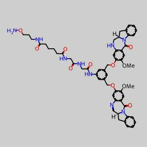 COc1cc2c(cc1OCc1cc(COc3cc4c(cc3OC)C(=O)N3c5ccccc5C[C@H]3CN4)cc(NC(=O)CNC(=O)CNC(=O)CCCCC(=O)NCCCON)c1)N=C[C@@H]1Cc3ccccc3N1C2=O